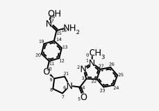 Cn1nc(C(=O)N2CC[C@@H](Oc3ccc(C(N)=NO)cc3)C2)c2ccccc21